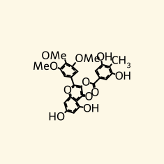 COc1cc(-c2oc3cc(O)cc(O)c3c(=O)c2OC(=O)c2cc(O)c(C)c(O)c2)cc(OC)c1OC